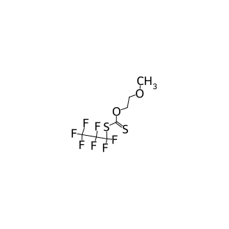 COCCOC(=S)SC(F)(F)C(F)(F)C(F)(F)F